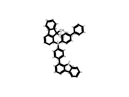 CC1(C)C2=C(C=CCC2N(c2ccc(-c3ccccc3)cc2)c2ccc(-c3cccc4c3sc3ccccc34)cc2)c2ccccc21